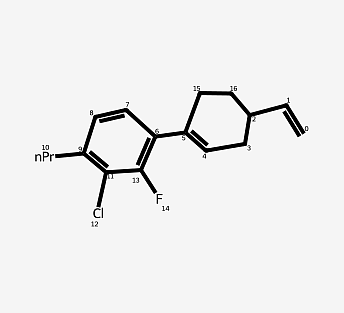 C=CC1CC=C(c2ccc(CCC)c(Cl)c2F)CC1